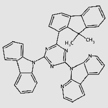 CC1(C)c2ccccc2-c2cccc(-c3nc(-n4c5ccccc5c5ccccc54)nc(-n4c5ncccc5c5cccnc54)n3)c21